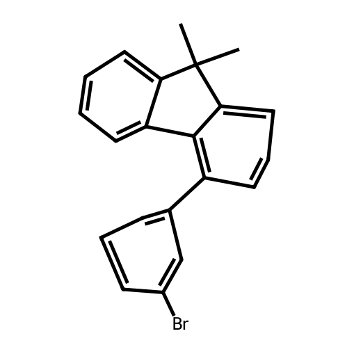 CC1(C)c2ccccc2-c2c(-c3cccc(Br)c3)cccc21